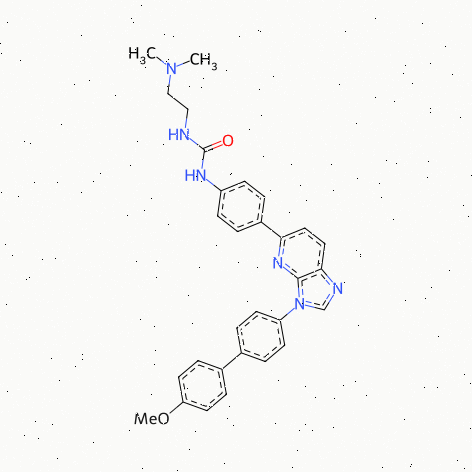 COc1ccc(-c2ccc(-n3cnc4ccc(-c5ccc(NC(=O)NCCN(C)C)cc5)nc43)cc2)cc1